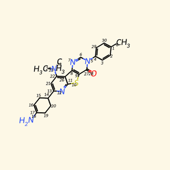 Cc1ccc(-n2cnc3c(sc4nc(C5CC=C(N)CC5)cc(N(C)C)c43)c2=O)cc1